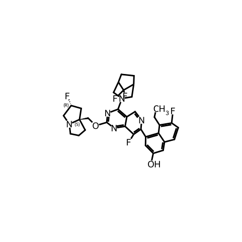 CCc1c(F)ccc2cc(O)cc(-c3ncc4c(N5CC6CCC(C5)C6(F)F)nc(OC[C@@]56CCCN5C[C@H](F)C6)nc4c3F)c12